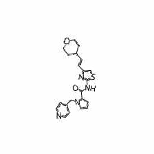 O=C(Nc1nc(C=CC2CCOCC2)cs1)c1cccn1Cc1ccncc1